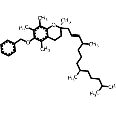 Cc1c(C)c2c(c(C)c1OCc1ccccc1)CC[C@](C)(C/C=C/C(C)CCC[C@H](C)CCCC(C)C)O2